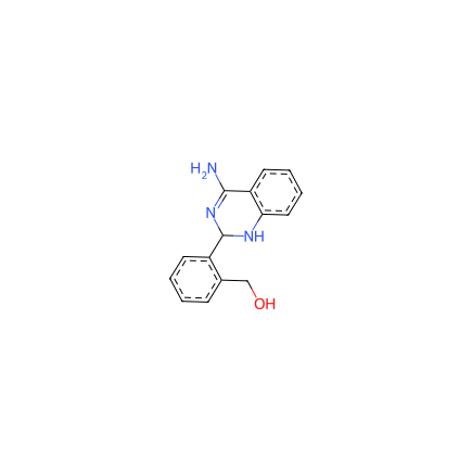 NC1=NC(c2ccccc2CO)Nc2ccccc21